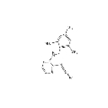 Cc1cc(C)c(CNc2ccccc2N=[N+]=[N-])c(C)c1